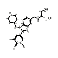 Cc1cc(-c2nc3cc(CN[C@@H](CO)C(=O)O)ccc3n2CC2CCOCC2)cn(C)c1=O